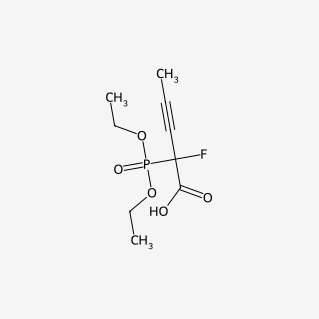 CC#CC(F)(C(=O)O)P(=O)(OCC)OCC